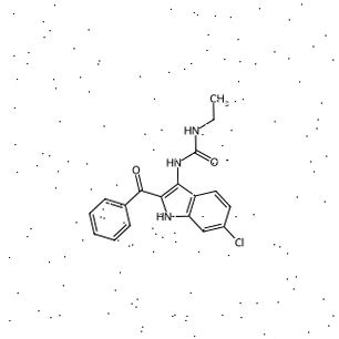 CCNC(=O)Nc1c(C(=O)c2ccccc2)[nH]c2cc(Cl)ccc12